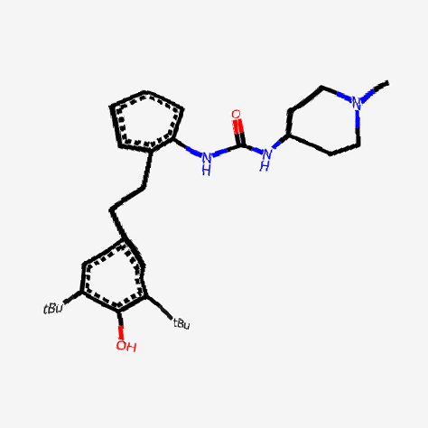 CN1CCC(NC(=O)Nc2ccccc2CCc2cc(C(C)(C)C)c(O)c(C(C)(C)C)c2)CC1